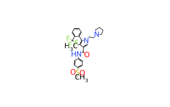 Cc1c(C(=O)Nc2ccc(S(C)(=O)=O)cc2)cn(CCN2CCCC2)c1-c1ccccc1C(F)(F)F